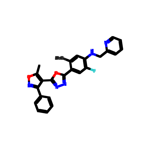 COc1cc(NCc2ccccn2)c(F)cc1-c1nnc(-c2c(-c3ccccc3)noc2C)o1